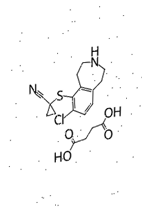 N#CC1(Sc2c(Cl)ccc3c2CCNCC3)CC1.O=C(O)CCC(=O)O